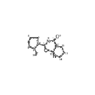 O=c1nc(-c2ccccc2F)oc2ncccc12